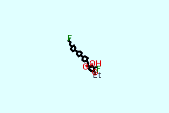 CCOc1ccc(C(=O)CC2CCC(C3CCC(C4CCC(CCCF)CC4)CC3)CC2)c(O)c1CF